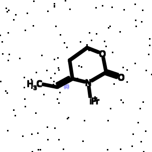 C/C=C1\CCOC(=O)N1C(C)C